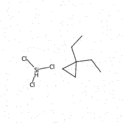 CCC1(CC)CC1.Cl[SiH](Cl)Cl